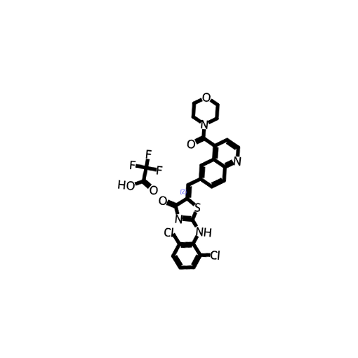 O=C(O)C(F)(F)F.O=C1N=C(Nc2c(Cl)cccc2Cl)S/C1=C\c1ccc2nccc(C(=O)N3CCOCC3)c2c1